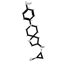 CC[C@@H]1C[C@H]1NC1COC2(CCN(c3ccc(C(=O)O)cc3)CC2)C1